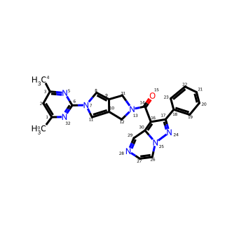 Cc1cc(C)nc(-n2cc3c(c2)CN(C(=O)c2c(-c4ccccc4)nn4ccncc24)C3)n1